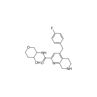 O=C(NC1COCCC1O)c1cc(Cc2ccc(F)cc2)c2c(n1)CNCC2